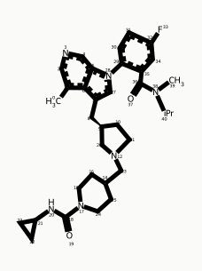 Cc1cncc2c1c(C[C@H]1CCN(CC3CCN(C(=O)NC4CC4)CC3)C1)cn2-c1ccc(F)cc1C(=O)N(C)C(C)C